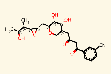 C[C@H]([C@@H]1O[C@H]1C[C@@H]1OC[C@H](CC(=O)CC(=O)c2cccc(C#N)c2)[C@@H](O)[C@H]1O)[C@H](C)O